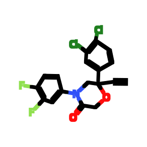 C#CC1(c2ccc(Cl)c(Cl)c2)CN(c2ccc(F)c(F)c2)C(=O)CO1